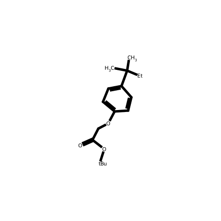 CCC(C)(C)c1ccc(OCC(=O)OC(C)(C)C)cc1